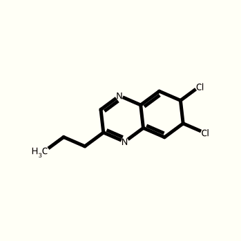 CCCc1cnc2c(n1)=CC(Cl)C(Cl)C=2